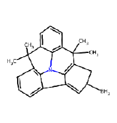 BC1C=c2c3n4c5c(cccc25)C(C)(C)c2cccc(c2-4)C(C)(C)C=3C1